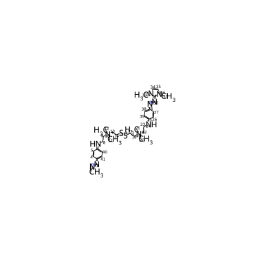 C/N=N/c1ccc(NCC[N+](C)(C)CCSSCC[N+](C)(C)CCNc2ccc(/N=N/c3n(C)cc[n+]3C)cc2)cc1